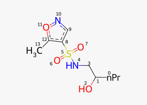 CCCC(O)CNS(=O)(=O)c1cnoc1C